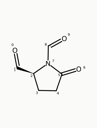 O=[C][C@@H]1CCC(=O)N1[C]=O